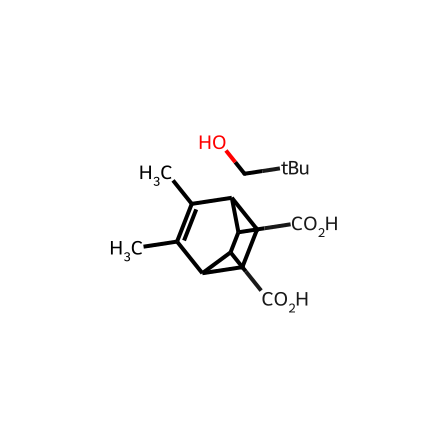 CC(C)(C)CO.CC1=C(C)C2CCC1C(C(=O)O)C2C(=O)O